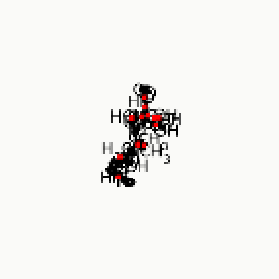 Cc1c(-c2ccc(N3CCc4cccc(C(=O)Nc5nc6ccccc6s5)c4C3)nc2C(=O)O)cnn1CC12CC3(C)CC(C)(C1)CC(OCCN(CCS(=O)(=O)O)C(=O)OCc1ccc(CCCNC(=O)CN4C(=O)C=CC4=O)cc1O[C@@H]1OC(C(=O)O)[C@@H](O)[C@H](O)[C@H]1O)(C3)C2